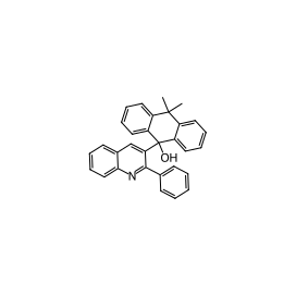 CC1(C)c2ccccc2C(O)(c2cc3ccccc3nc2-c2ccccc2)c2ccccc21